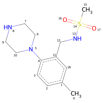 Cc1ccc(N2CCNCC2)c(CNS(C)(=O)=O)c1